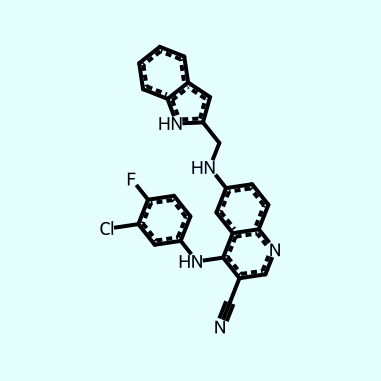 N#Cc1cnc2ccc(NCc3cc4ccccc4[nH]3)cc2c1Nc1ccc(F)c(Cl)c1